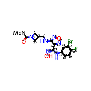 CNC(=O)N1CC(CNc2nonc2/C(=N/O)Nc2ccc(F)c(Br)c2)C1